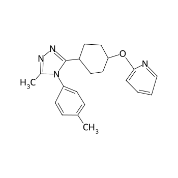 Cc1ccc(-n2c(C)nnc2C2CCC(Oc3ccccn3)CC2)cc1